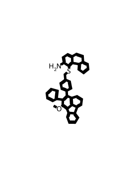 COc1c(-c2ccccc2)c(-c2ccc(CSc3c(N)ccc4ccc5ccccc5c34)cc2)c2cccc3c2c1-c1ccccc1-3